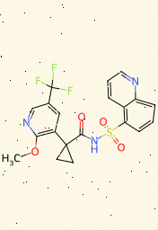 COc1ncc(C(F)(F)F)cc1C1(C(=O)NS(=O)(=O)c2cccc3ncccc23)CC1